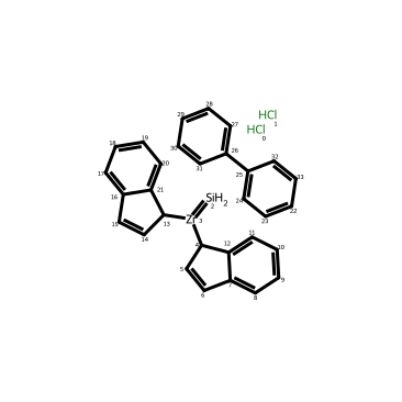 Cl.Cl.[SiH2]=[Zr]([CH]1C=Cc2ccccc21)[CH]1C=Cc2ccccc21.c1ccc(-c2ccccc2)cc1